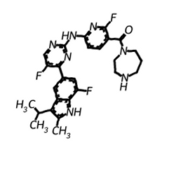 Cc1[nH]c2c(F)cc(-c3nc(Nc4ccc(C(=O)N5CCCNCC5)c(F)n4)ncc3F)cc2c1C(C)C